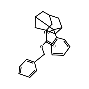 O=C(OCc1ccccc1)C12CC3CC(C1)C(O)(c1ccccc1)C(C3)C2